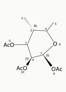 CC(=O)OC1[C@H](C)C(C)O[C@@H](OC(C)=O)[C@H]1OC(C)=O